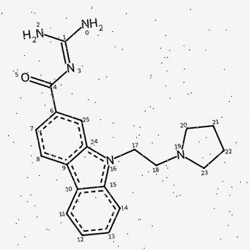 NC(N)=NC(=O)c1ccc2c3ccccc3n(CCN3CCCC3)c2c1